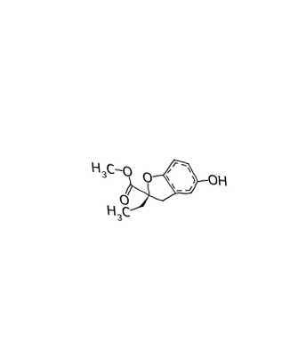 CC[C@]1(C(=O)OC)Cc2cc(O)ccc2O1